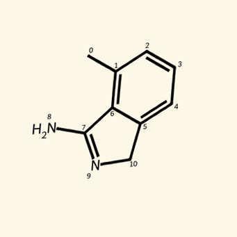 Cc1cccc2c1C(N)=NC2